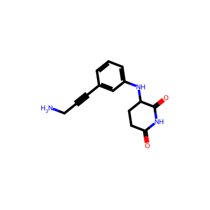 NCC#Cc1cccc(NC2CCC(=O)NC2=O)c1